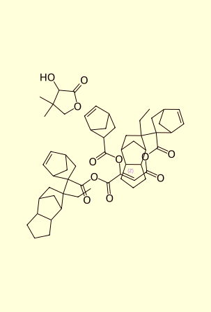 CC1(C)COC(=O)C1O.CCC1(C2(C(=O)OC(=O)/C=C(\OC(=O)C3CC4C=CC3C4)C(=O)OC(=O)C3(C4(CC)CC5CC4C4CCCC54)CC4C=CC3C4)CC3C=CC2C3)CC2CC1C1CCCC21